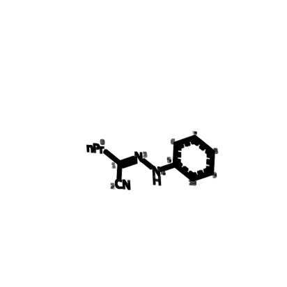 CCCC(C#N)=NNc1ccccc1